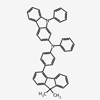 CC1(C)c2ccccc2-c2c(-c3ccc(N(c4ccccc4)c4ccc5c6ccccc6n(-c6ccccc6)c5c4)cc3)cccc21